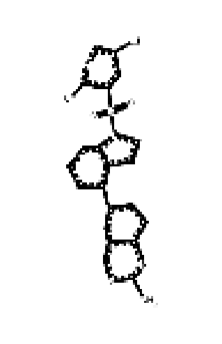 Nc1ncc2cc(-c3cccc4c3ccn4S(=O)(=O)c3cc(Cl)ccc3Cl)ccc2n1